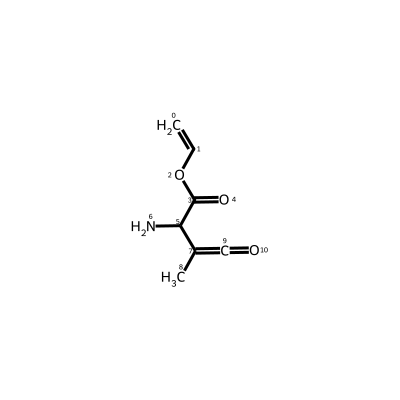 C=COC(=O)C(N)C(C)=C=O